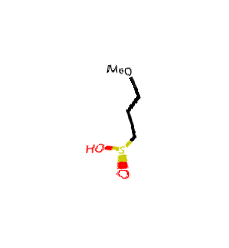 COCCCS(=O)O